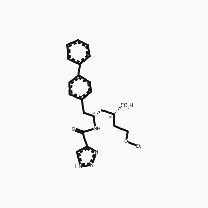 CCOCC[C@H](C[C@@H](Cc1ccc(-c2ccccc2)cc1)NC(=O)c1c[nH]nn1)C(=O)O